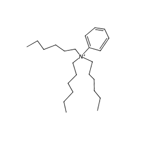 CCCCCC[N+](CCCCCC)(CCCCCC)c1ccccc1